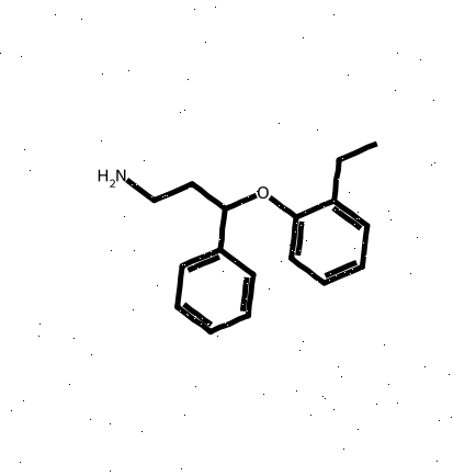 CCc1ccccc1OC(CCN)c1ccccc1